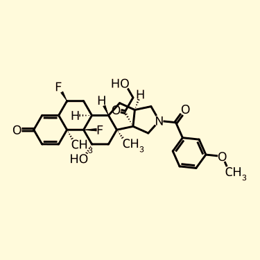 COc1cccc(C(=O)N2C[C@@H]3C[C@H]4[C@@H]5C[C@H](F)C6=CC(=O)C=C[C@]6(C)[C@@]5(F)[C@@H](O)C[C@]4(C)[C@]3(C(=O)CO)C2)c1